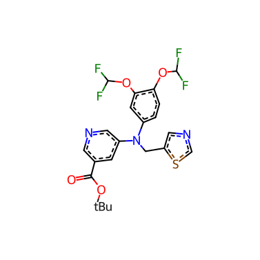 CC(C)(C)OC(=O)c1cncc(N(Cc2cncs2)c2ccc(OC(F)F)c(OC(F)F)c2)c1